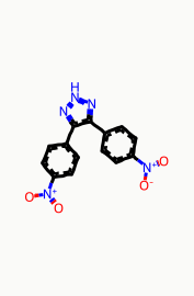 O=[N+]([O-])c1ccc(-c2n[nH]nc2-c2ccc([N+](=O)[O-])cc2)cc1